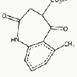 CCOC(=O)C1CC(=O)Nc2cccc(C)c2C1=O